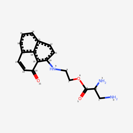 NCC(N)C(=O)OCCNc1ccc2cccc3c2c1C(=O)C=C3